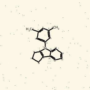 Cc1cc(C)cc(-n2c3c(c4ccccc42)CCC3)c1